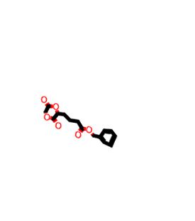 O=C(CCCC1OC(=O)COC1=O)OCc1ccccc1